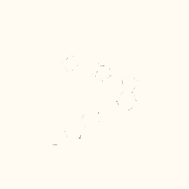 C=CC(=O)Nc1cccc(Oc2cnc3[nH]cc(-c4cn(Cc5cnc(C)s5)nc4C)c3n2)c1